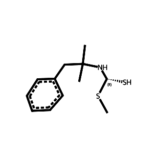 CS[C@@H](S)NC(C)(C)Cc1ccccc1